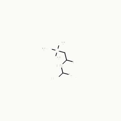 CCC(C[Si](OC)(OC)OC)NC(C)N